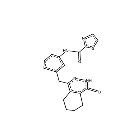 O=C(Nc1cccc(Cc2n[nH]c(=O)c3c2CCCC3)c1)c1nccs1